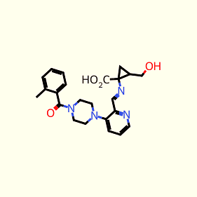 Cc1ccccc1C(=O)N1CCN(c2cccnc2C=NC2(C(=O)O)CC2CO)CC1